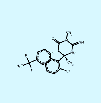 CN1C(=N)N[C@](C)(c2ccccc2Cl)[C@H](c2ccc(C(C)(F)F)cc2)C1=O